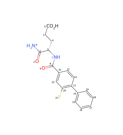 NC(=O)[C@H](CCC(=O)O)NC(=O)c1ccc(-c2ccccc2)c(F)c1